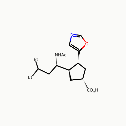 CCC(CC)C[C@H](NC(C)=O)[C@@H]1C[C@@H](C(=O)O)C[C@H]1c1cnco1